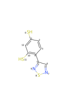 Sc1ccc(-c2cnsn2)c(S)c1